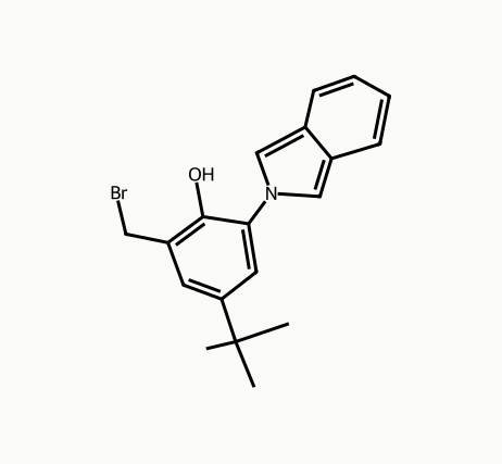 CC(C)(C)c1cc(CBr)c(O)c(-n2cc3ccccc3c2)c1